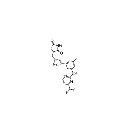 Cc1cc(Nc2nccc(C(F)F)n2)cc(-c2cnn(CC3CC(=O)NC3=O)c2)c1